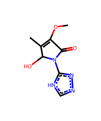 COC1=C(C)C(O)N(c2nnc[nH]2)C1=O